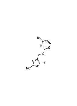 N#Cc1cc(F)c(COc2nccc(Br)n2)s1